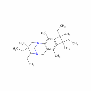 CCC1N2Cc3c(C)c4c(c(C)c3N(C2)CC1(C)CC)C(C)(CC)C4(C)CC